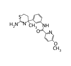 COc1ccc(C(=O)Nc2cccc(C3(C)CCSC(N)=N3)c2)nc1